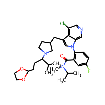 CC(C)C(CCC1OCCO1)N1CCC(Cc2cn(-c3ccc(F)cc3C(=O)N(C)C(C)C)c3cncc(Cl)c23)C1